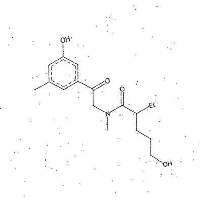 CCC(CCCO)C(=O)N(C)CC(=O)c1cc(C)cc(O)c1